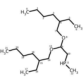 CCCCC(CC)COC(CPC)OCC(CC)CCCC